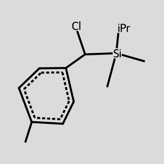 Cc1ccc(C(Cl)[Si](C)(C)C(C)C)cc1